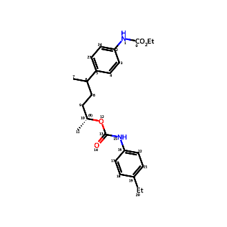 CCOC(=O)Nc1ccc(C(C)CC[C@@H](C)OC(=O)Nc2ccc(CC)cc2)cc1